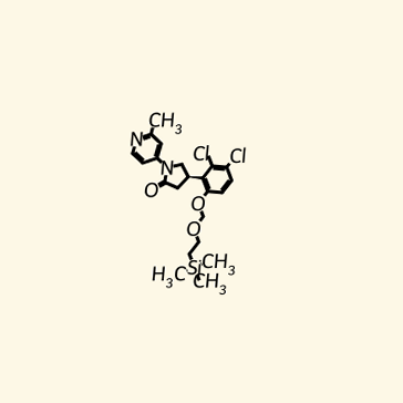 Cc1cc(N2C[C@@H](c3c(OCOCC[Si](C)(C)C)ccc(Cl)c3Cl)CC2=O)ccn1